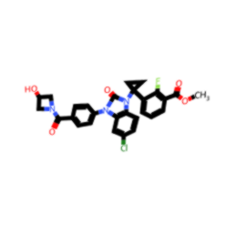 COC(=O)c1cccc(C2(n3c(=O)n(-c4ccc(C(=O)N5CC(O)C5)cc4)c4cc(Cl)ccc43)CC2)c1F